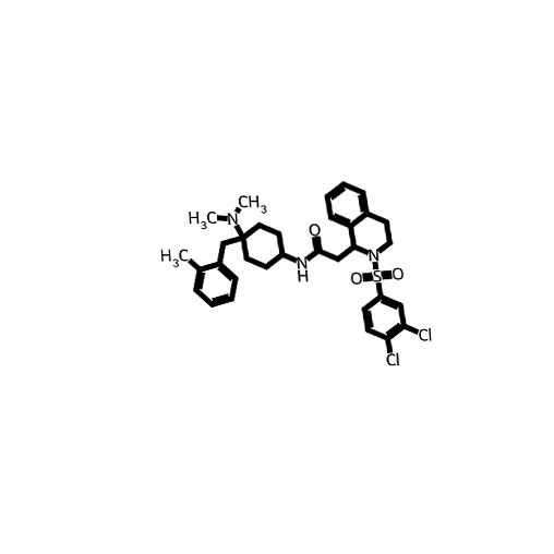 Cc1ccccc1CC1(N(C)C)CCC(NC(=O)CC2c3ccccc3CCN2S(=O)(=O)c2ccc(Cl)c(Cl)c2)CC1